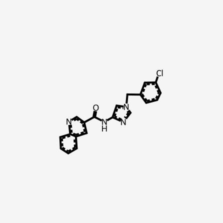 O=C(Nc1cn(Cc2cccc(Cl)c2)cn1)c1cnc2ccccc2c1